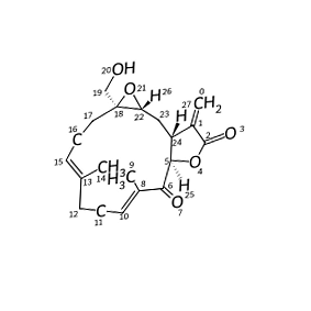 C=C1C(=O)O[C@H]2C(=O)/C(C)=C/CC/C(C)=C/CC[C@@]3(CO)O[C@@H]3C[C@H]12